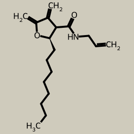 C=CCNC(=O)C1C(=C)C(=C)O[C@@H]1CCCCCCCC